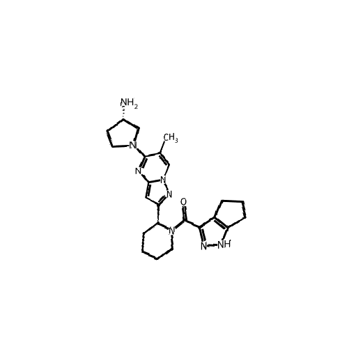 Cc1cn2nc([C@@H]3CCCCN3C(=O)c3n[nH]c4c3CCC4)cc2nc1N1CC[C@H](N)C1